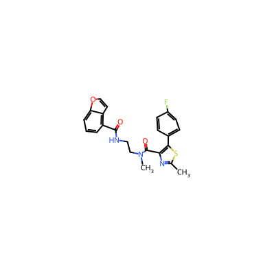 Cc1nc(C(=O)N(C)CCNC(=O)c2cccc3occc23)c(-c2ccc(F)cc2)s1